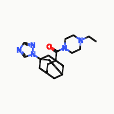 CCN1CCN(C(=O)C23CC4CC(C2)CC(n2cncn2)(C4)C3)CC1